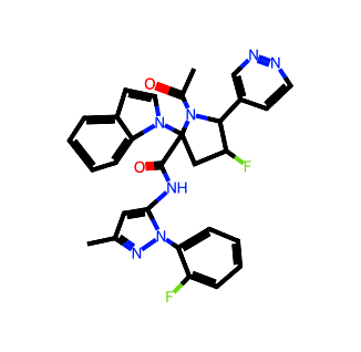 CC(=O)N1C(c2ccnnc2)C(F)CC1(C(=O)Nc1cc(C)nn1-c1ccccc1F)n1ccc2ccccc21